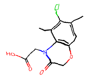 Cc1cc2c(c(C)c1Cl)N(CC(=O)O)C(=O)CO2